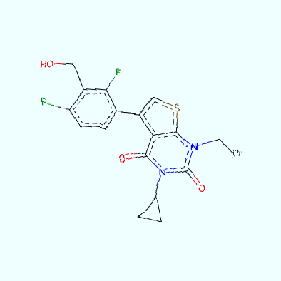 CC(C)Cn1c(=O)n(C2CC2)c(=O)c2c(-c3ccc(F)c(CO)c3F)csc21